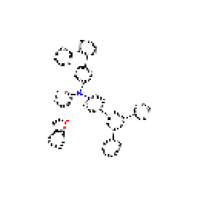 c1ccc(-c2cc(-c3ccccc3)cc(-c3ccc(N(c4ccc(-c5ccccc5-c5ccccc5)cc4)c4cccc(-c5cc6ccccc6o5)c4)cc3)c2)cc1